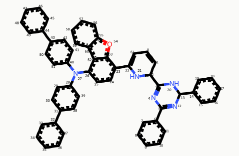 C1=CC(C2=NC(c3ccccc3)=NC(c3ccccc3)N2)NC(c2ccc(N(c3ccc(-c4ccccc4)cc3)c3ccc(-c4ccccc4)cc3)c3c2oc2ccccc23)=C1